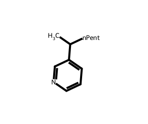 CCCCCC(C)c1cccnc1